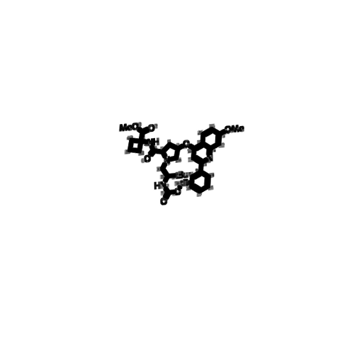 COC(=O)C1(NC(=O)C2CC(Oc3cc(-c4ccccc4)nc4cc(OC)ccc34)CN2CC(NC(=O)OC(C)(C)C)C(C)(C)C)CCC1